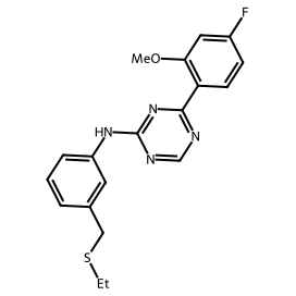 CCSCc1cccc(Nc2ncnc(-c3ccc(F)cc3OC)n2)c1